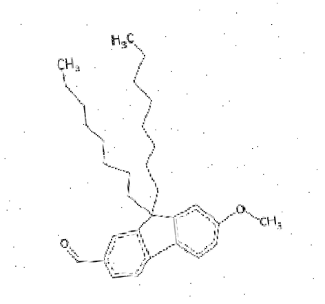 CCCCCCCCC1(CCCCCCCC)c2cc(C=O)ccc2-c2ccc(OC)cc21